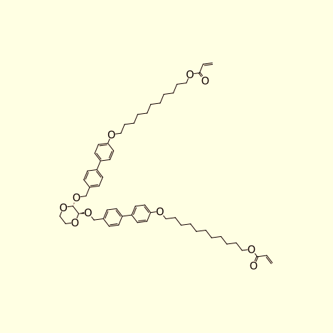 C=CC(=O)OCCCCCCCCCCCOc1ccc(-c2ccc(CO[C@H]3OCCO[C@@H]3OCc3ccc(-c4ccc(OCCCCCCCCCCCOC(=O)C=C)cc4)cc3)cc2)cc1